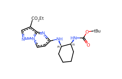 CCOC(=O)c1cnn2ccc(N[C@@H]3CCCC[C@@H]3NC(=O)OC(C)(C)C)nc12